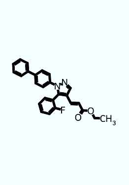 CCOC(=O)C=Cc1cnn(-c2ccc(-c3ccccc3)cc2)c1-c1ccccc1F